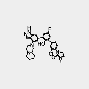 Cn1ccn(-c2ccc(-c3cc(F)cc(-c4cc(N5CCN6CCCCC6C5)c5cn[nH]c5c4)c3O)cc2Cl)c1=O